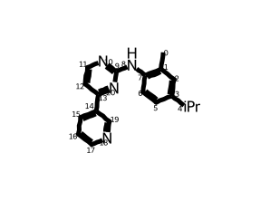 Cc1cc(C(C)C)ccc1Nc1nccc(-c2cccnc2)n1